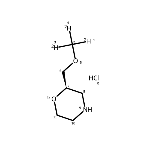 Cl.[2H]C([2H])([2H])OC[C@H]1CNCCO1